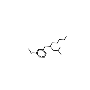 CCCCCC(Cc1cc[c]c(OC)c1)CC(C)C